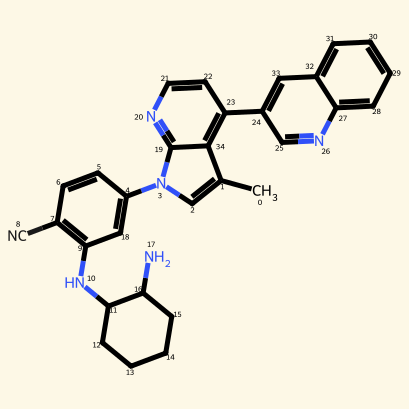 Cc1cn(-c2ccc(C#N)c(NC3CCCCC3N)c2)c2nccc(-c3cnc4ccccc4c3)c12